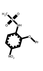 CC(C)Oc1cc([N+](=O)[O-])ccc1NS(C)(=O)=O